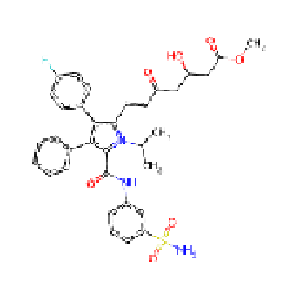 COC(=O)C[C@H](O)CC(=O)/C=C/c1c(-c2ccc(F)cc2)c(-c2ccccc2)c(C(=O)Nc2cccc(S(N)(=O)=O)c2)n1C(C)C